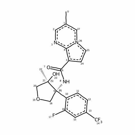 Cc1cnc2c(C(=O)N[C@]3(c4ccc(C(F)(F)F)cc4F)COC[C@@]3(C)O)ccn2c1